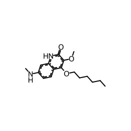 CCCCCCOc1c(OC)c(=O)[nH]c2cc(NC)ccc12